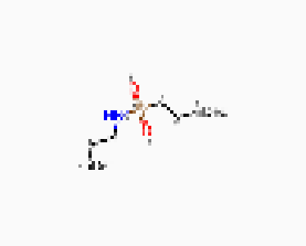 CCCCCCCCCCCCNS(=O)(=O)CCCCCCCCCCCC